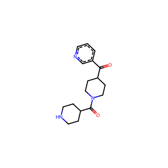 O=C(c1cccnc1)C1CCN(C(=O)C2CCNCC2)CC1